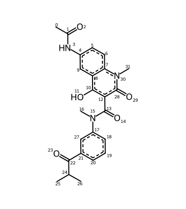 CC(=O)Nc1ccc2c(c1)c(O)c(C(=O)N(C)c1cccc(C(=O)C(C)C)c1)c(=O)n2C